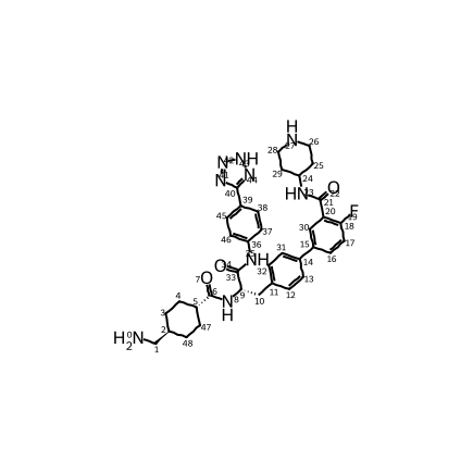 NC[C@H]1CC[C@H](C(=O)N[C@@H](Cc2ccc(-c3ccc(F)c(C(=O)NC4CCNCC4)c3)cc2)C(=O)Nc2ccc(-c3nn[nH]n3)cc2)CC1